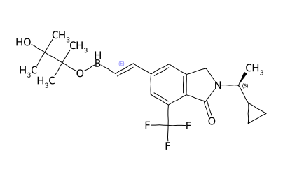 C[C@@H](C1CC1)N1Cc2cc(/C=C/BOC(C)(C)C(C)(C)O)cc(C(F)(F)F)c2C1=O